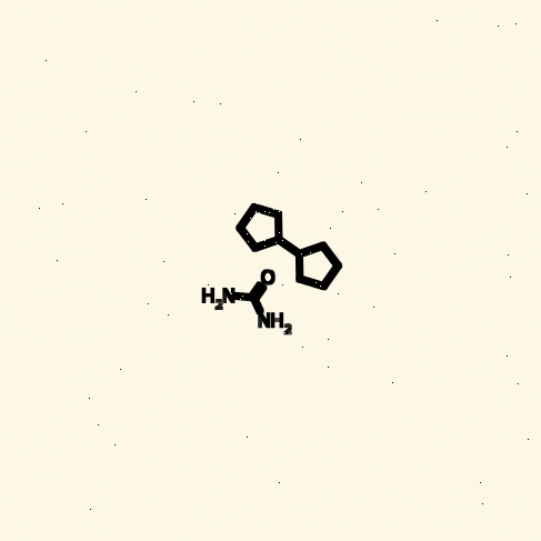 C1CCC(C2CCCC2)C1.NC(N)=O